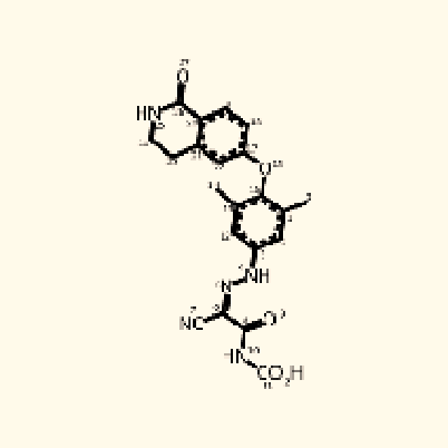 Cc1cc(NN=C(C#N)C(=O)NC(=O)O)cc(C)c1Oc1ccc2c(c1)CCNC2=O